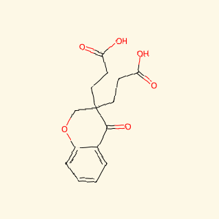 O=C(O)CCC1(CCC(=O)O)COc2ccccc2C1=O